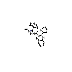 C=C/N=C(/N[C@@H](C)c1nc2ccc(F)cc2nc1-c1ccccn1)c1nc[nH]c1C